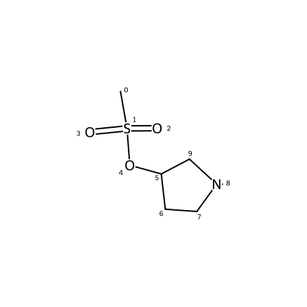 CS(=O)(=O)OC1CC[N]C1